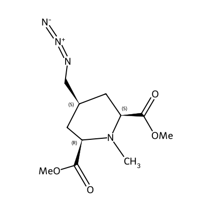 COC(=O)[C@H]1C[C@@H](CN=[N+]=[N-])C[C@@H](C(=O)OC)N1C